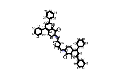 O=C1/C(=C/c2csc(/C=C3\CCc4c(-c5ccccc5)cc(-c5ccccc5)nc4C3=O)c2)CCc2c(-c3ccccc3)cc(-c3ccccc3)nc21